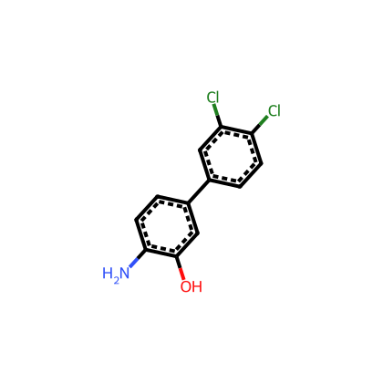 Nc1ccc(-c2ccc(Cl)c(Cl)c2)cc1O